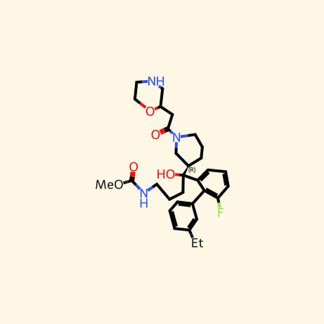 CCc1cccc(-c2c(F)cccc2C(O)(CCCNC(=O)OC)[C@@H]2CCCN(C(=O)CC3CNCCO3)C2)c1